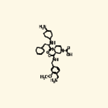 COc1cc(CNC(=O)[C@@H]2CN(C(=O)O)CCN2C(=O)[C@@H](CC2CCCCC2)NC2CCC(N)CC2)ccc1CN